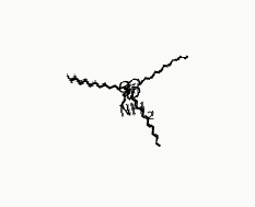 CCCCCCCCCCCCO[Si](CCCN)(OCCCCCCCCCCCC)OCCCCCCCCCCCC